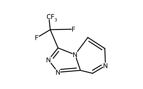 FC(F)(F)C(F)(F)c1nnc2cnccn12